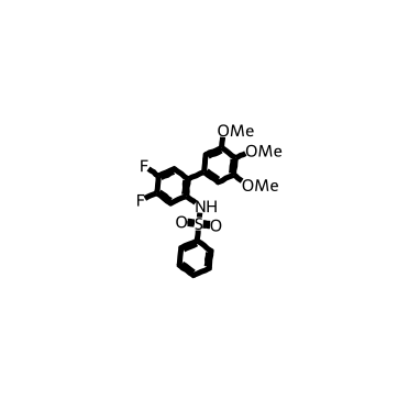 COc1cc(-c2cc(F)c(F)cc2NS(=O)(=O)c2ccccc2)cc(OC)c1OC